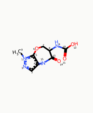 Cn1ncc2c1OCC(NC(=O)O)C(=O)N2